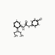 CC(C)CN(CC(C)C)c1ccccc1NC(=O)Cc1ccc(Cl)cc1